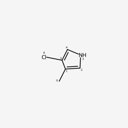 Cc1c[nH]cc1Cl